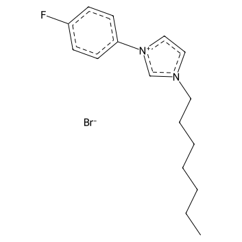 CCCCCCCn1cc[n+](-c2ccc(F)cc2)c1.[Br-]